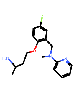 CC(N)CCOc1ccc(F)cc1CN(C)c1ccccn1